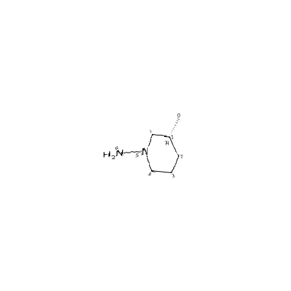 C[C@@H]1CCCN(N)C1